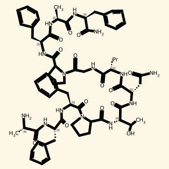 CC(C)[C@H](NC(=O)[C@H](CC(N)=O)NC(=O)[C@@H](NC(=O)C1CCCN1C(=O)[C@H](Cc1ccccc1)NC(=O)[C@H](Cc1ccccc1)NC(=O)[C@H](C)N)C(C)O)C(=O)NCC(=O)N1CCCC1C(=O)N[C@@H](Cc1ccccc1)C(=O)N[C@@H](C)C(=O)N[C@@H](Cc1ccccc1)C(N)=O